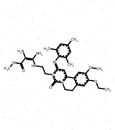 CCOc1cc2c(cc1OC)-c1c/c(=N\c3c(C)cc(C)cc3C)n(CCN/C(N)=C(/N)C(=O)OC)c(=O)n1CC2